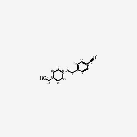 N#Cc1ccc(CC[C@H]2CC[C@H](CO)CC2)cc1